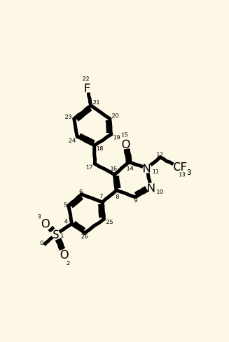 CS(=O)(=O)c1ccc(-c2cnn(CC(F)(F)F)c(=O)c2Cc2ccc(F)cc2)cc1